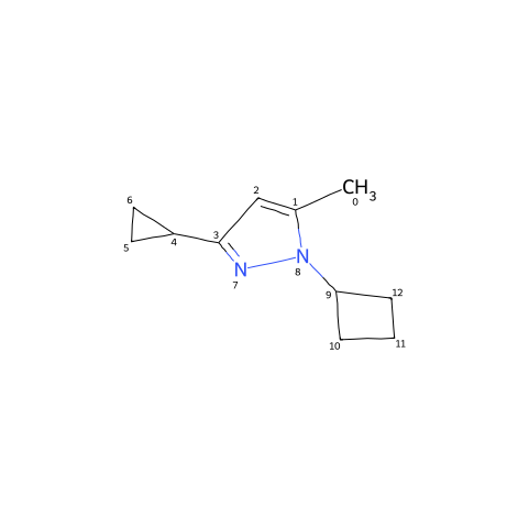 Cc1cc(C2CC2)nn1C1CCC1